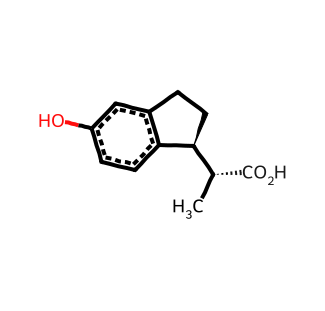 C[C@@H](C(=O)O)[C@@H]1CCc2cc(O)ccc21